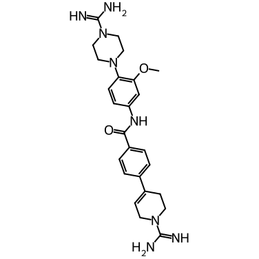 COc1cc(NC(=O)c2ccc(C3=CCN(C(=N)N)CC3)cc2)ccc1N1CCN(C(=N)N)CC1